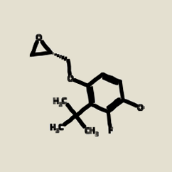 CC(C)(C)c1c(OC[C@@H]2CO2)ccc([O])c1F